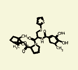 CC1CC(C(=O)NC(CSc2cccs2)C(=O)N2CCCC2C(=O)OC2CC3CCC2(C)C3(C)C)=CC(O)=C1O